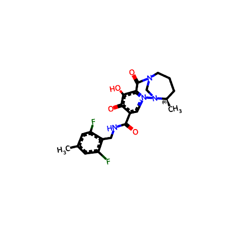 Cc1cc(F)c(CNC(=O)c2cn3c(c(O)c2=O)C(=O)N2CCC[C@@H](C)N3C2)c(F)c1